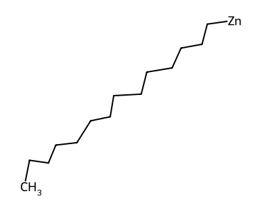 CCCCCCCCCCCCC[CH2][Zn]